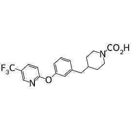 O=C(O)N1CCC(Cc2cccc(Oc3ccc(C(F)(F)F)cn3)c2)CC1